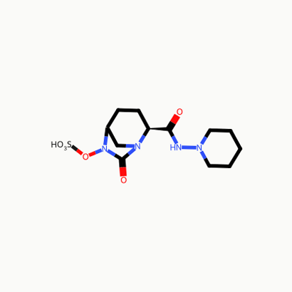 O=C(NN1CCCCC1)[C@@H]1CCC2CN1C(=O)N2OS(=O)(=O)O